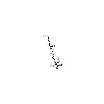 CCCC(=O)C(C)(C)OCCOCCOC(=O)CCCCC=O